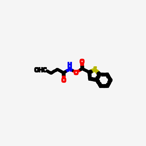 O=CCCC(=O)NOC(=O)c1cc2ccccc2s1